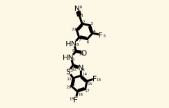 N#Cc1cc(F)cc(NC(=O)Nc2nc3c(F)cc(F)cc3s2)c1